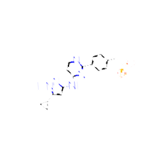 O=[SH](=O)Cc1ccc(-c2nccc(Nc3cc(C4CC4)[nH]n3)n2)cc1